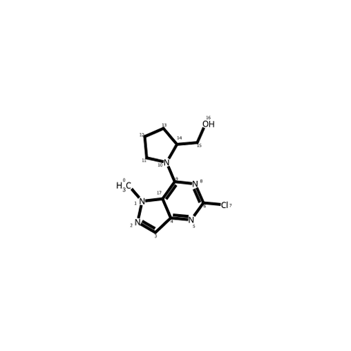 Cn1ncc2nc(Cl)nc(N3CCCC3CO)c21